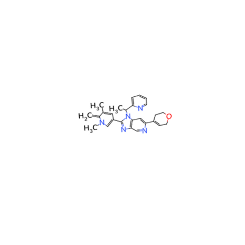 C=C1C(C)=CC(c2nc3cnc(C4=CCOCC4)cc3n2C(C)c2ccccn2)=CN1C